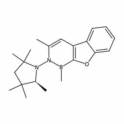 CB1c2oc3ccccc3c2C=C(C)N1N1[C@@H](C)C(C)(C)CC1(C)C